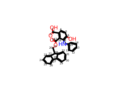 O=C(O)c1ccc(O)c(Nc2ccccc2)c1C(=O)OCC1c2ccccc2-c2ccccc21